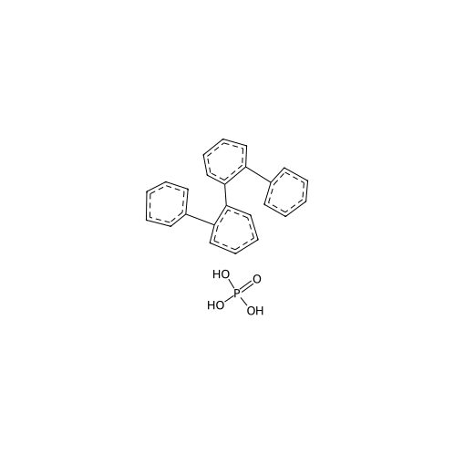 O=P(O)(O)O.c1ccc(-c2ccccc2-c2ccccc2-c2ccccc2)cc1